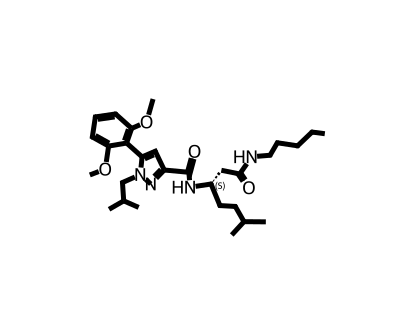 CCCCCNC(=O)C[C@H](CCC(C)C)NC(=O)c1cc(-c2c(OC)cccc2OC)n(CC(C)C)n1